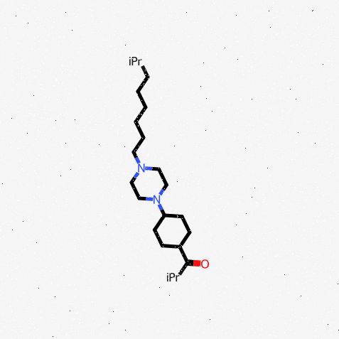 CC(C)CCCCCCN1CCN(C2CCC(C(=O)C(C)C)CC2)CC1